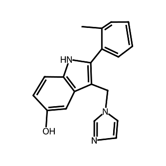 Cc1ccccc1-c1[nH]c2ccc(O)cc2c1Cn1ccnc1